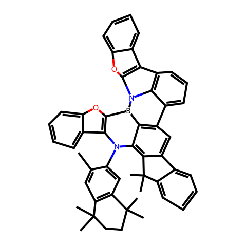 Cc1cc2c(cc1N1c3c4c(cc5c3C(C)(C)c3ccccc3-5)-c3cccc5c6c7ccccc7oc6n(c35)B4c3oc4ccccc4c31)C(C)(C)CCC2(C)C